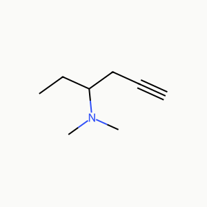 C#CCC(CC)N(C)C